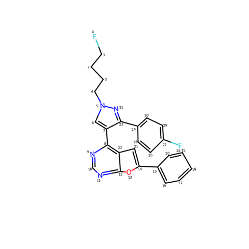 FCCCCn1cc(-c2ncnc3oc(-c4ccccc4)cc23)c(-c2ccc(F)cc2)n1